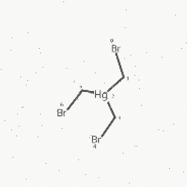 Br[CH2][Hg]([CH2]Br)[CH2]Br